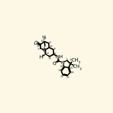 CC1(C)CN(C(=O)NC2CC3C[C@H]4C[C@H](C2)N3CC4=O)c2ccccc21